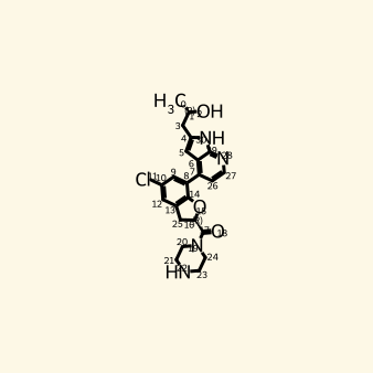 C[C@@H](O)Cc1cc2c(-c3cc(Cl)cc4c3O[C@@H](C(=O)N3CCNCC3)C4)ccnc2[nH]1